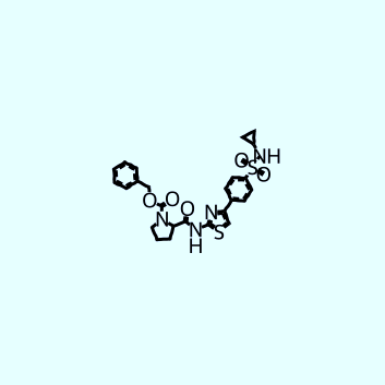 O=C(Nc1nc(-c2ccc(S(=O)(=O)NC3CC3)cc2)cs1)C1CCCN1C(=O)OCc1ccccc1